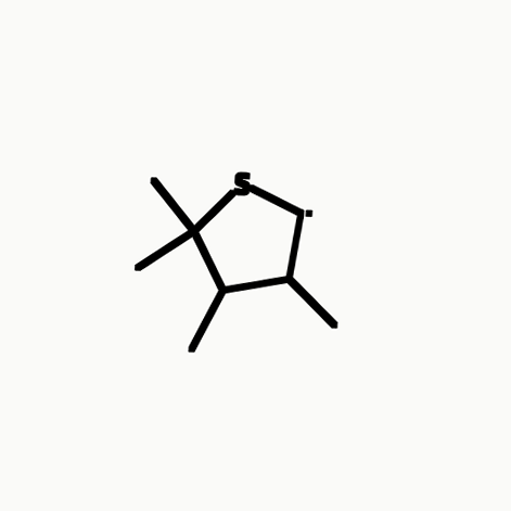 CC1[CH]SC(C)(C)C1C